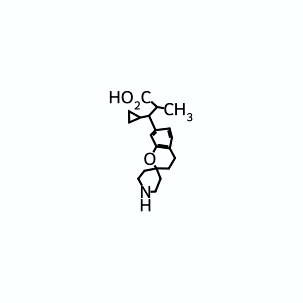 CC(C(=O)O)C(c1ccc2c(c1)OC1(CCNCC1)CC2)C1CC1